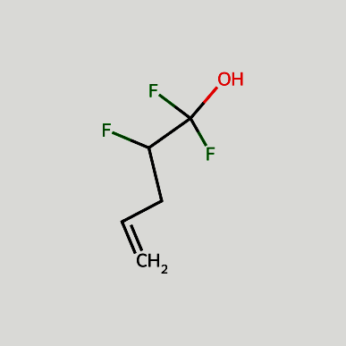 C=CCC(F)C(O)(F)F